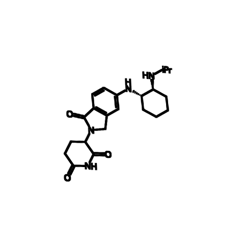 CC(C)N[C@H]1CCCC[C@@H]1Nc1ccc2c(c1)CN(C1CCC(=O)NC1=O)C2=O